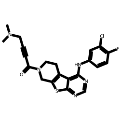 CN(C)CC#CC(=O)N1CCc2c(sc3ncnc(Nc4ccc(F)c(Cl)c4)c23)C1